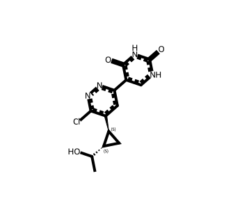 CC(O)[C@H]1C[C@@H]1c1cc(-c2c[nH]c(=O)[nH]c2=O)nnc1Cl